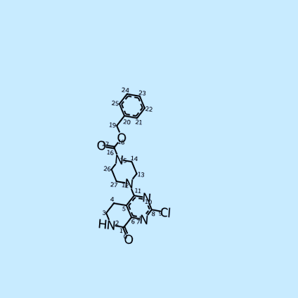 O=C1NCCc2c1nc(Cl)nc2N1CCN(C(=O)OCc2ccccc2)CC1